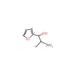 CC(C(O)c1cc[c]o1)[N+](=O)[O-]